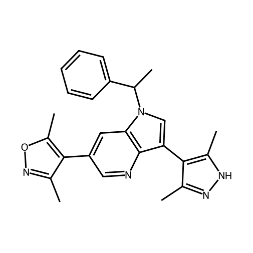 Cc1n[nH]c(C)c1-c1cn(C(C)c2ccccc2)c2cc(-c3c(C)noc3C)cnc12